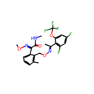 CNC(=O)/C(=N/OC)c1cccc(C)c1CO/N=C(\C)c1c(F)cc(F)cc1OC(F)(F)F